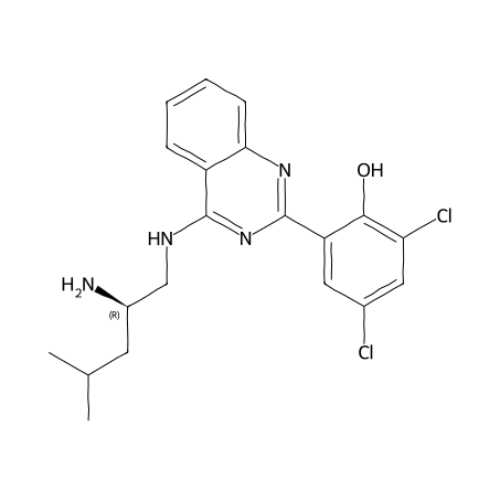 CC(C)C[C@@H](N)CNc1nc(-c2cc(Cl)cc(Cl)c2O)nc2ccccc12